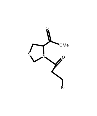 COC(=O)C1CSCN1C(=O)CCBr